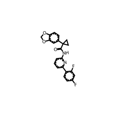 O=C(Nc1cccc(-c2ccc(F)cc2F)n1)C1(c2ccc3c(c2)OCO3)CC1